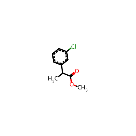 COC(=O)C(C)c1cccc(Cl)c1